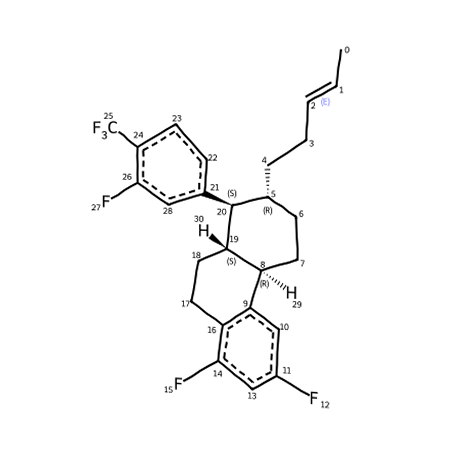 C/C=C/CC[C@@H]1CC[C@H]2c3cc(F)cc(F)c3CC[C@@H]2[C@H]1c1ccc(C(F)(F)F)c(F)c1